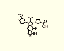 COc1cc(-n2c(C(C)C)c([C@@H]3CCC(C(=O)O)C3)c3c(F)c4[nH]ncc4cc32)ccc1F